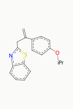 C=C(Cc1nc2ccccc2s1)c1ccc(OC(C)C)cc1